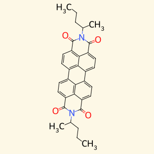 CCCC(C)N1C(=O)c2ccc3c4ccc5c6c(ccc(c7ccc(c2c37)C1=O)c64)C(=O)N(C(C)CCC)C5=O